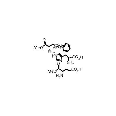 CC(=O)Oc1ccccc1.COC(=O)[C@@H](N)CC(=O)O.COC(=O)[C@@H](N)CCC(=O)O.N[C@@H](Cc1c[nH]cn1)C(=O)O